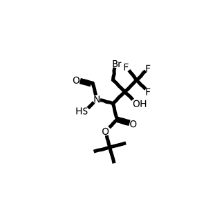 CC(C)(C)OC(=O)C(N(S)C=O)C(O)(CBr)C(F)(F)F